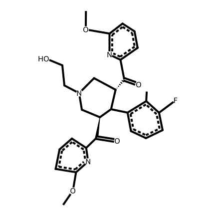 COc1cccc(C(=O)[C@H]2CN(CCO)C[C@H](C(=O)c3cccc(OC)n3)C2c2cccc(F)c2C)n1